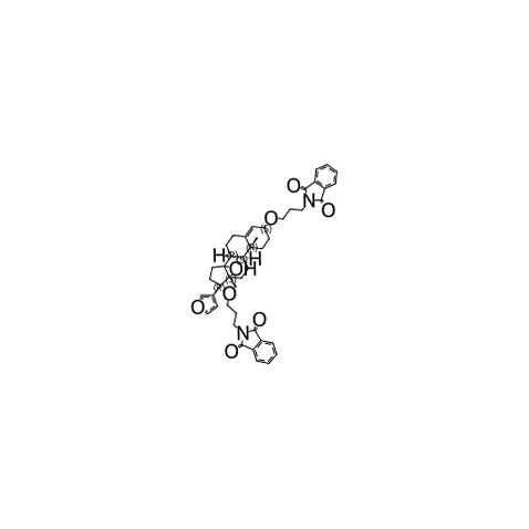 C[C@]12CC[C@H](OCCCN3C(=O)c4ccccc4C3=O)C=C1CC[C@@H]1[C@@H]2CC[C@@]2(C)C1(O)CC[C@]2(OCCCN1C(=O)c2ccccc2C1=O)c1ccoc1